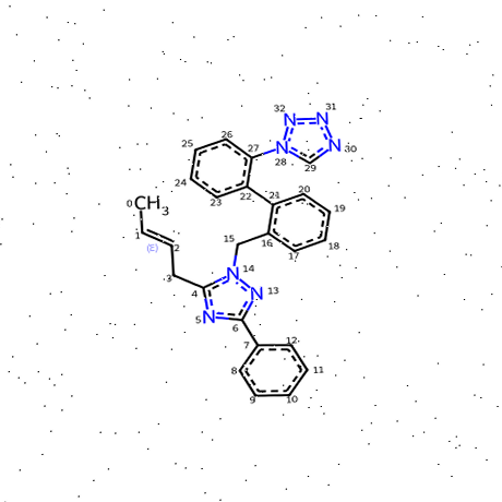 C/C=C/Cc1nc(-c2ccccc2)nn1Cc1ccccc1-c1ccccc1-n1cnnn1